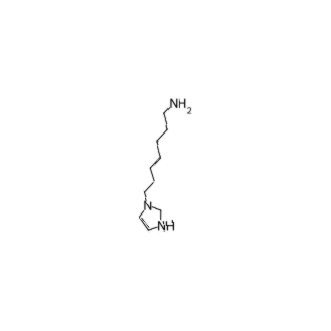 NCCCCCCCN1C=CNC1